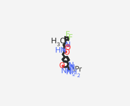 CC(C)n1nc(-c2ccc(CC(=O)Nc3cc(C4(C)CC(F)(F)C4)no3)cc2)c(C(N)=O)c1N